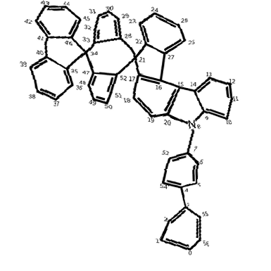 c1ccc(-c2ccc(-n3c4ccccc4c4c5c(ccc43)C3(c4ccccc4-5)c4ccccc4C4(c5ccccc5-c5ccccc54)c4ccccc43)cc2)cc1